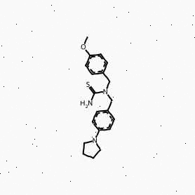 COc1ccc(CN(Cc2ccc(N3CCCC3)cc2)C(N)=S)cc1